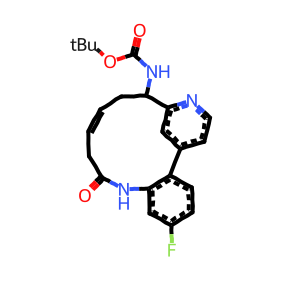 CC(C)(C)OC(=O)NC1CC=CCC(=O)Nc2cc(F)ccc2-c2ccnc1c2